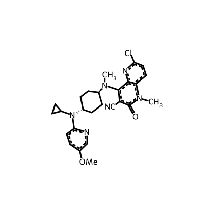 COc1ccc(N(C2CC2)[C@H]2CC[C@H](N(C)c3c(C#N)c(=O)n(C)c4ccc(Cl)nc34)CC2)nc1